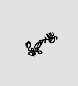 CC(C)(CN1CCN(C(=O)C2=COC(Cc3ccccc3)O2)CC1)C(N)C=O